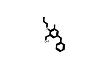 CCCOc1c(C)cc(Cc2ccccc2)cc1CO